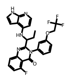 CCC(Nc1ccnc2[nH]ccc12)c1nc2cccc(F)c2c(=O)n1-c1cccc(OCC(F)(F)F)c1